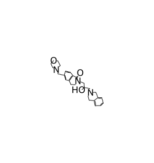 O=C1c2ccc(CN3CCOCC3)cc2CCN1CC(O)CN1CCc2ccccc2C1